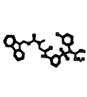 CN(CC(=O)Nc1cccc(S(=O)(=O)N(c2cccc(Cl)c2)C(C(=O)O)C(C)(C)C)c1)C(=O)OCC1c2ccccc2-c2ccccc21